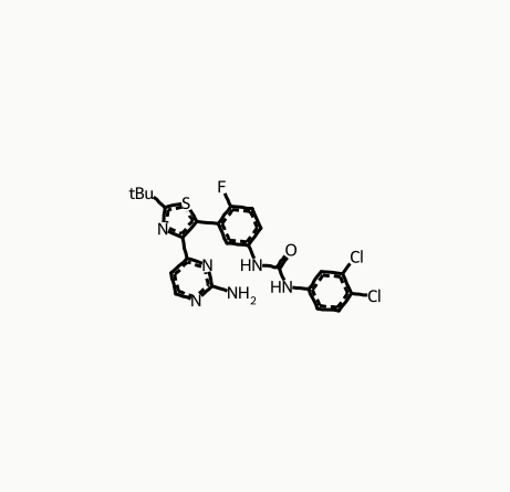 CC(C)(C)c1nc(-c2ccnc(N)n2)c(-c2cc(NC(=O)Nc3ccc(Cl)c(Cl)c3)ccc2F)s1